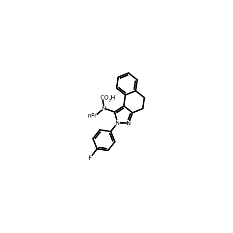 CCCN(C(=O)O)c1c2c(nn1-c1ccc(F)cc1)CCc1ccccc1-2